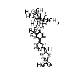 CC(C)C[C@@](C)(COc1ccc(-c2ccnc(NC3CCN(C(=O)O)CC3)c2)cc1C(F)(F)F)NC(=O)OC(C)(C)C